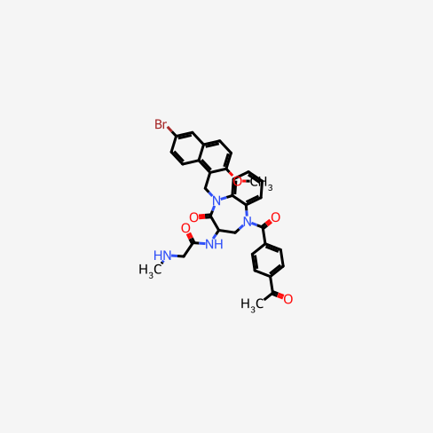 CNCC(=O)NC1CN(C(=O)c2ccc(C(C)=O)cc2)c2ccccc2N(Cc2c(OC)ccc3cc(Br)ccc23)C1=O